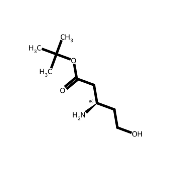 CC(C)(C)OC(=O)C[C@H](N)CCO